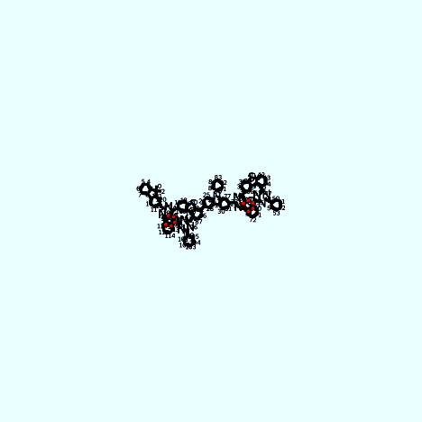 CC1(C)c2ccccc2-c2ccc(-c3nc(-c4ccc5sc6c(-c7ccc8c(c7)c7ccc(-c9nc(-c%10ccc%11sc%12cccc(-c%13nc(-c%14ccccc%14)nc(-c%14ccccc%14)n%13)c%12c%11c%10)c%10oc%11ccccc%11c%10n9)cc7n8-c7ccccc7)ccc(-c7nc(-c8ccccc8)nc(-c8ccccc8)n7)c6c5c4)c4oc5ccccc5c4n3)cc21